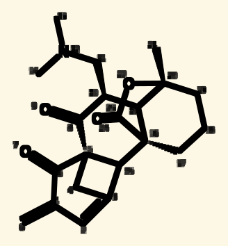 C=C1C=C2C[C@]3(C1=O)C(=O)[C@@H](CN(C)C)C1[C@@]4(CCC[C@@]1(C)OC4=O)C23